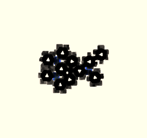 c1ccc(-c2ccc3c4cc(C5(c6ccccc6)c6ccccc6-c6c(N(c7ccccc7)c7ccccc7)cc(N(c7ccccc7)c7ccccc7)cc65)ccc4n(-c4ccccc4)c3c2)cc1